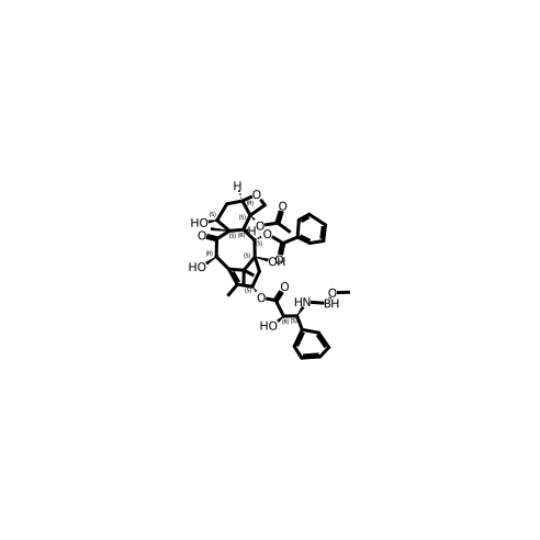 COBN[C@@H](c1ccccc1)[C@@H](O)C(=O)O[C@H]1C[C@@]2(O)[C@@H](OC(=O)c3ccccc3)[C@@H]3[C@]4(OC(C)=O)CO[C@@H]4C[C@H](O)[C@@]3(C)C(=O)[C@H](O)C(=C1C)C2(C)C